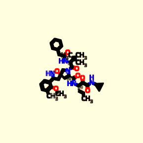 CCC[C@H](NC(=O)[C@@H]1C[C@]2(CC(c3cccc(C)c3OC)NO2)CN1C(=O)[C@@H](NC(=O)CC1CCCCC1)C(C)(C)C)C(=O)C(=O)NC1CC1